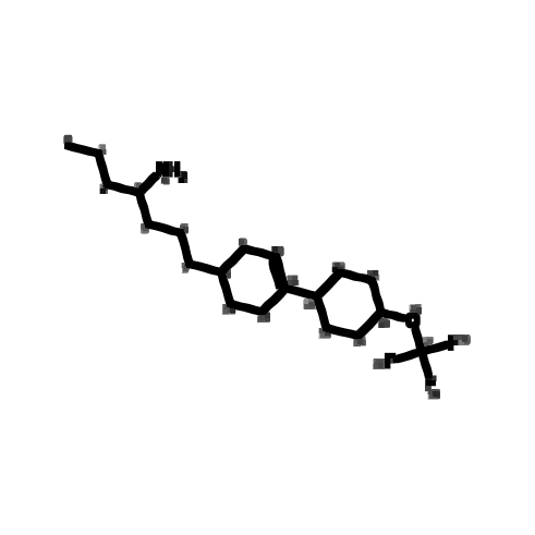 CCCC(N)CCCC1CC=C(C2CCC(OC(F)(F)F)CC2)CC1